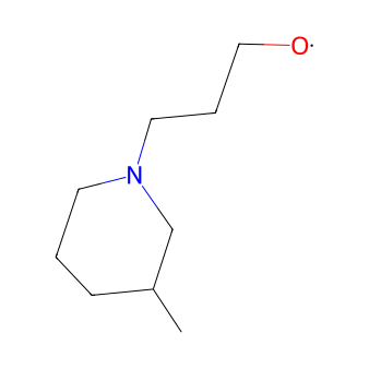 CC1CCCN(CCC[O])C1